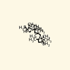 BN1CC(C)N(CC(C)(C)CC(C)(N)N2CPN(B)S2(C)C)S1(C)C